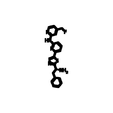 N[C@@H](Cc1ccccc1)c1ncc(-c2cccc(Nc3cc(CF)ccn3)n2)s1